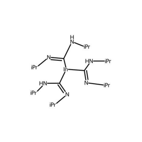 CC(C)N=[C](NC(C)C)[In]([C](=NC(C)C)NC(C)C)[C](=NC(C)C)NC(C)C